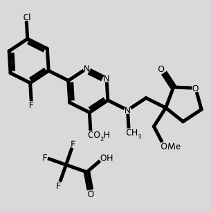 COCC1(CN(C)c2nnc(-c3cc(Cl)ccc3F)cc2C(=O)O)CCOC1=O.O=C(O)C(F)(F)F